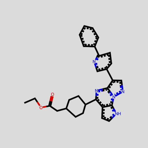 CCOC(=O)CC1CCC(c2nc3c(-c4ccc(-c5ccccc5)nc4)cnn3c3[nH]ccc23)CC1